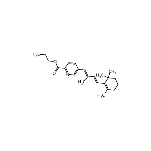 CCCOC(=O)c1ccc(/C=C(\C)C=CC2=C(C)CCCC2(C)C)cn1